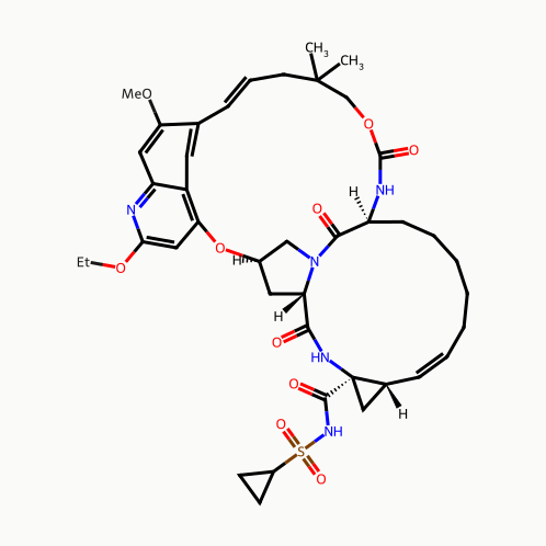 CCOc1cc2c3cc(c(OC)cc3n1)/C=C/CC(C)(C)COC(=O)N[C@H]1CCCCC/C=C\[C@@H]3C[C@@]3(C(=O)NS(=O)(=O)C3CC3)NC(=O)[C@@H]3C[C@H](CN3C1=O)O2